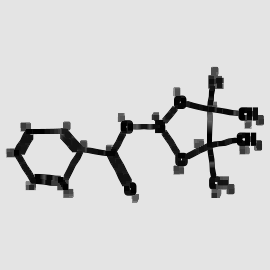 CCC1(C)OB(OC(=O)c2ccccn2)OC1(C)C